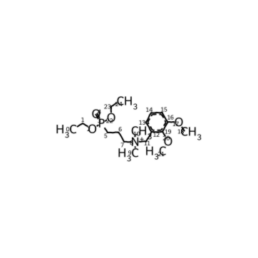 CCOP(=O)(CCC[N+](C)(C)Cc1cccc(OC)c1OC)OCC